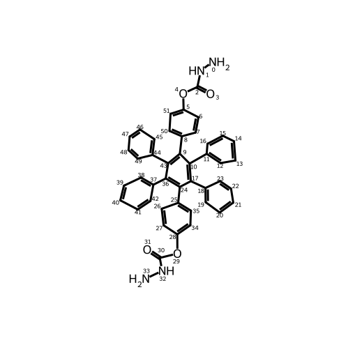 NNC(=O)Oc1ccc(-c2c(-c3ccccc3)c(-c3ccccc3)c(-c3ccc(OC(=O)NN)cc3)c(-c3ccccc3)c2-c2ccccc2)cc1